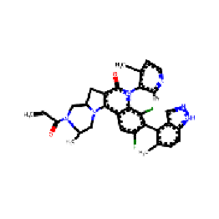 C=CC(=O)N1CC2Cc3c(c4cc(F)c(-c5c(C)ccc6[nH]ncc56)c(F)c4n(-c4c(C)ccnc4C(C)C)c3=O)N2CC1C